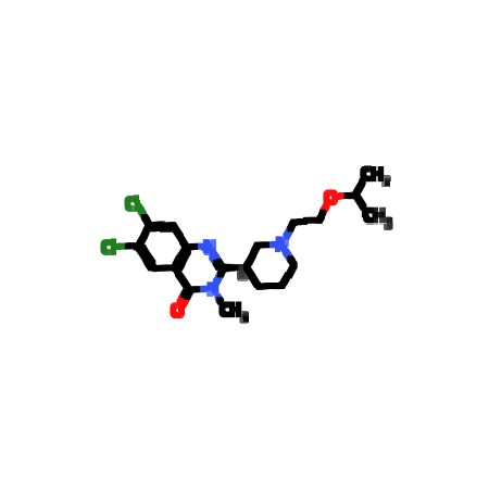 CC(C)OCCN1CCC[C@@H](c2nc3cc(Cl)c(Cl)cc3c(=O)n2C)C1